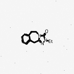 CCn1nc2n(c1=O)CCc1ccccc1C2